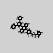 N=C(OC(=N)c1ccc(-c2c3ccccc3c(-c3cc(-c4ccccc4)cc(-c4ccccc4)c3)c3ccccc23)cc1)c1ccccc1